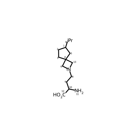 CC(C)C1CCC2(C1)CN(CCC(N)C(=O)O)C2